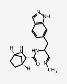 C/N=C/C(Cc1ccc2cn[nH]c2c1)NC(=O)[C@H]1N[C@@H]2CC[C@H]1C2